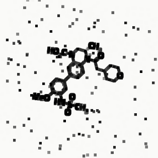 COc1ccc(-c2ccc3c(c2)N(C(=O)O)C[C@H](C)N3C(=O)CC2CCOCC2)cc1NS(C)(=O)=O